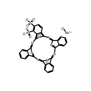 O=S(=O)([O-])c1ccc2c3nc4nc(nc5[nH]c(nc6nc(nc([nH]3)c2c1S(=O)(=O)[O-])-c1ccccc1-6)c1ccccc51)-c1ccccc1-4.[Cl][Rh+2]